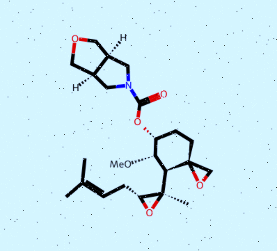 CO[C@@H]1[C@H](OC(=O)N2C[C@H]3COC[C@H]3C2)CC[C@]2(CO2)[C@H]1[C@@]1(C)O[C@@H]1CC=C(C)C